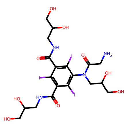 NCC(=O)N(CC(O)CO)c1c(I)c(C(=O)NCC(O)CO)c(I)c(C(=O)NCC(O)CO)c1I